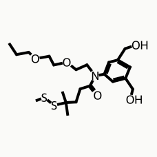 CCCOCCOCCN(C(=O)CCC(C)(C)SSC)c1cc(CO)cc(CO)c1